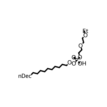 CCCCCCCCCCCCCCCCCCCCOOP(=O)(O)OCCOCCOCC